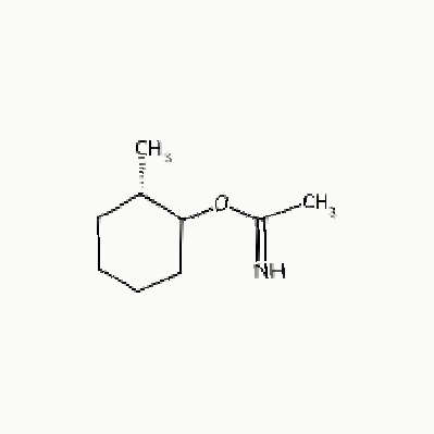 CC(=N)OC1CCCC[C@@H]1C